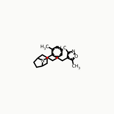 Cc1ccccc1C1CC2CCC(C1)N2CCCCc1c(C)noc1C